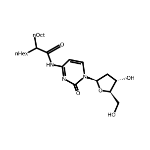 CCCCCCCCC(CCCCCC)C(=O)Nc1ccn([C@H]2C[C@H](O)[C@@H](CO)O2)c(=O)n1